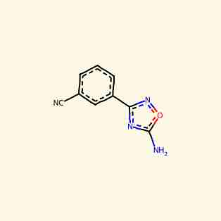 N#Cc1cccc(-c2noc(N)n2)c1